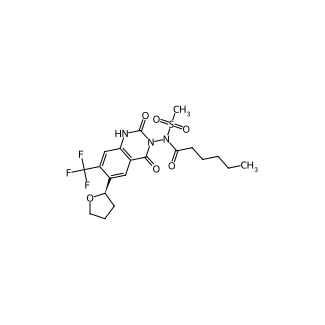 CCCCCC(=O)N(n1c(=O)[nH]c2cc(C(F)(F)F)c([C@H]3CCCO3)cc2c1=O)S(C)(=O)=O